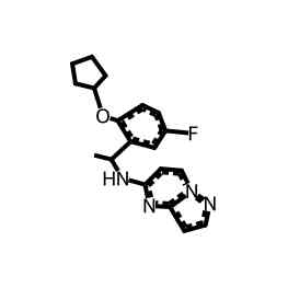 CC(Nc1ccn2nccc2n1)c1cc(F)ccc1OC1CCCC1